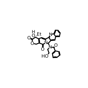 CC[C@@]1(O)C(=O)OCc2c1cc1n(c2=O)C(N(CCO)C(=O)c2ccccc2)c2cc3ccccc3nc2-1